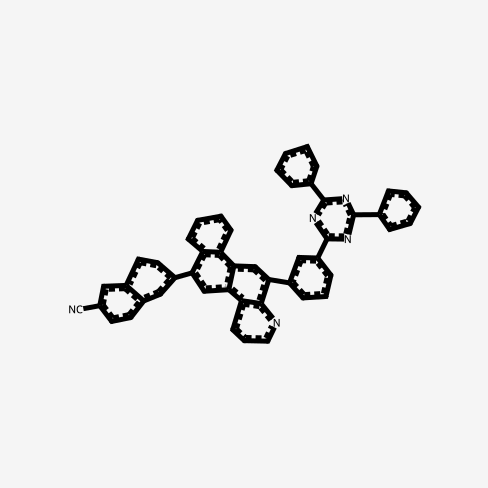 N#Cc1ccc2cc(-c3cc4c5cccnc5c(-c5cccc(-c6nc(-c7ccccc7)nc(-c7ccccc7)n6)c5)cc4c4ccccc34)ccc2c1